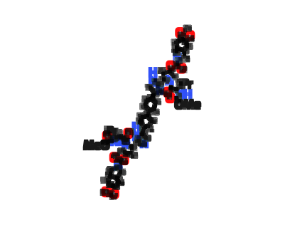 COC(=O)NC(C(=O)N1C[C@H](OC(=O)N2Cc3cc4c(cc3C2)OCO4)C[C@H]1c1nc(-c2ccc(-c3ccc(-c4cnc([C@@H]5C[C@@H](OC(=O)N6Cc7cc8c(cc7C6)OCO8)CN5C(=O)[C@@H](NC(=O)OC)C(C)C)[nH]4)cc3)cc2)c[nH]1)C(C)C